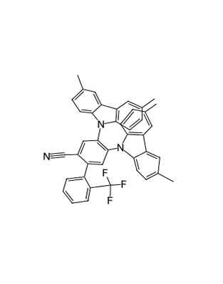 Cc1ccc2c(c1)c1cc(C)ccc1n2-c1cc(C#N)c(-c2ccccc2C(F)(F)F)cc1-n1c2ccc(C)cc2c2cc(C)ccc21